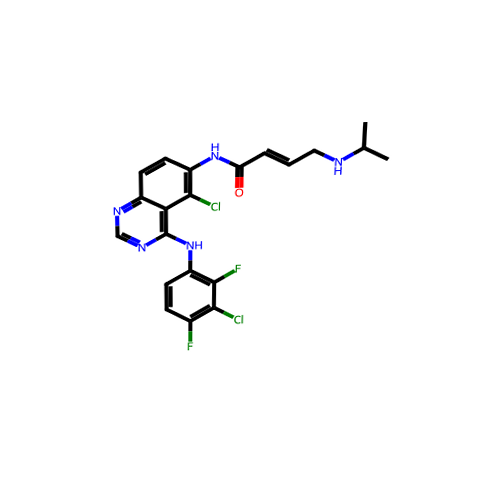 CC(C)NC/C=C/C(=O)Nc1ccc2ncnc(Nc3ccc(F)c(Cl)c3F)c2c1Cl